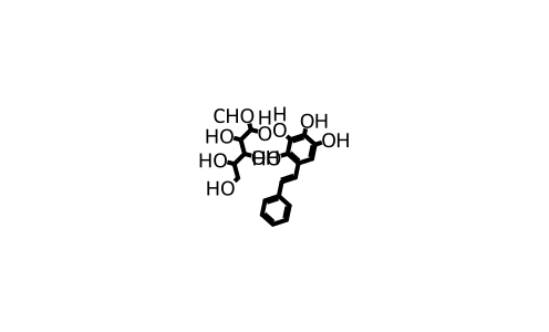 O=CC(O)C(O)C(O)C(O)CO.Oc1cc(C=Cc2ccccc2)c(O)c(O)c1O